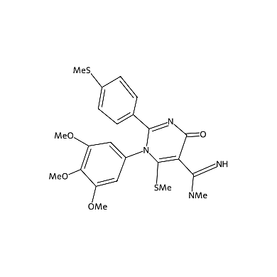 CNC(=N)c1c(SC)n(-c2cc(OC)c(OC)c(OC)c2)c(-c2ccc(SC)cc2)nc1=O